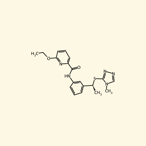 CCOc1cccc(C(=O)Nc2cccc([C@H](C)Sc3nncn3C)c2)n1